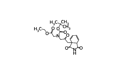 CCOC(=O)CN(CC(=O)CC12C=CC=CC1C(=O)NC2=O)C(=O)OC(C)(C)C